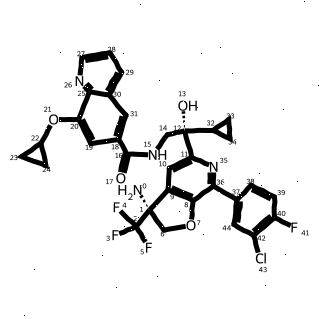 N[C@@]1(C(F)(F)F)COc2c1cc([C@@](O)(CNC(=O)c1cc(OC3CC3)c3ncccc3c1)C1CC1)nc2-c1ccc(F)c(Cl)c1